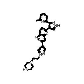 Cc1cccc(-c2n[nH]cc2-c2ccc3ncc(-c4cnn(CCN5CCNCC5)c4)cc3n2)n1